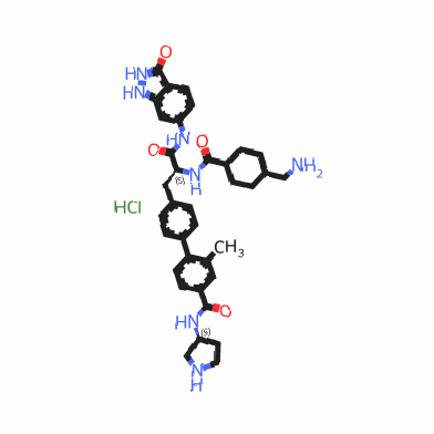 Cc1cc(C(=O)N[C@H]2CCNC2)ccc1-c1ccc(C[C@H](NC(=O)C2CCC(CN)CC2)C(=O)Nc2ccc3c(=O)[nH][nH]c3c2)cc1.Cl